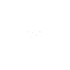 CC(Cc1ccc(OCC(N)=O)cc1)N(CC(O)COc1ccccc1)CC(O)c1ccc(OCc2ccccc2)cc1